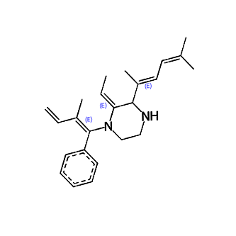 C=C/C(C)=C(\c1ccccc1)N1CCNC(/C(C)=C/C=C(C)C)/C1=C\C